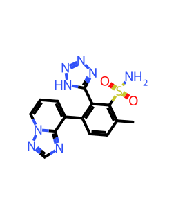 Cc1ccc(-c2cccn3ncnc23)c(-c2nnn[nH]2)c1S(N)(=O)=O